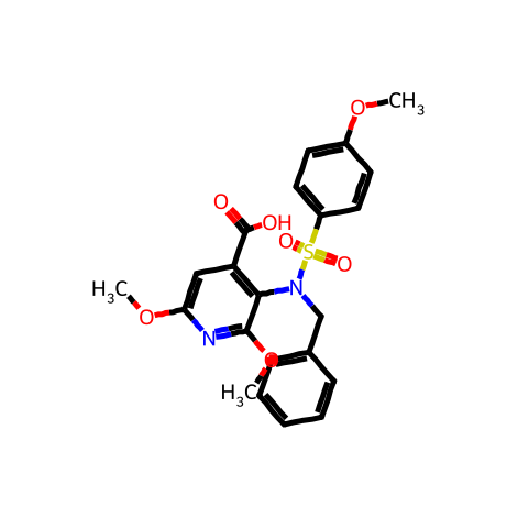 COc1ccc(S(=O)(=O)N(Cc2ccccc2)c2c(C(=O)O)cc(OC)nc2OC)cc1